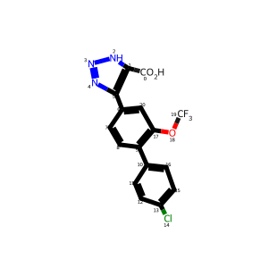 O=C(O)c1[nH]nnc1-c1ccc(-c2ccc(Cl)cc2)c(OC(F)(F)F)c1